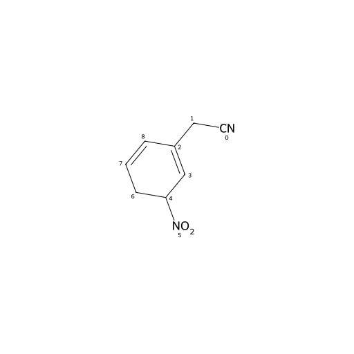 N#CCC1=CC([N+](=O)[O-])CC=C1